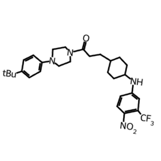 CC(C)(C)c1ccc(N2CCN(C(=O)CCC3CCC(Nc4ccc([N+](=O)[O-])c(C(F)(F)F)c4)CC3)CC2)cc1